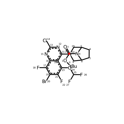 CC(C)(C)OC(=O)N1C2CCC1CN(c1nc(Cl)nc3c(F)c(Br)c(F)c(OC(F)F)c13)C2